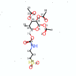 CC(=O)O[C@H]1O[C@H](COC(=O)NCCC[SH](=O)=O)[C@@H](C)[C@H](OC(C)=O)[C@H]1OC(C)=O